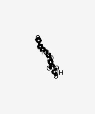 O=C1CCC(N2Cc3cc(OC4CCN(Cc5cc6cc(C7CCOCC7)ccc6cn5)C4)ccc3C2=O)C(=O)N1